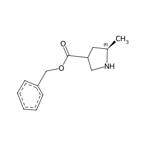 C[C@@H]1CC(C(=O)OCc2ccccc2)CN1